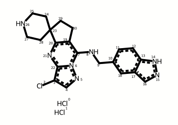 Cl.Cl.Clc1cnn2c(NCc3ccc4[nH]ncc4c3)c3c(nc12)C1(CCNCC1)CC3